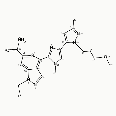 CCn1ncc2c(-c3nc(-c4cc(C)nn4CCCOC)cn3C)nc(C(N)=O)cc21